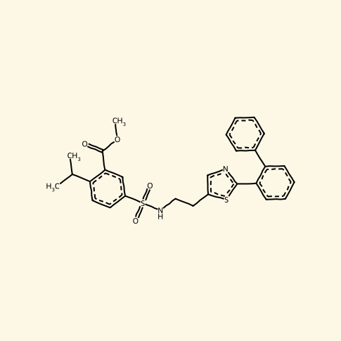 COC(=O)c1cc(S(=O)(=O)NCCc2cnc(-c3ccccc3-c3ccccc3)s2)ccc1C(C)C